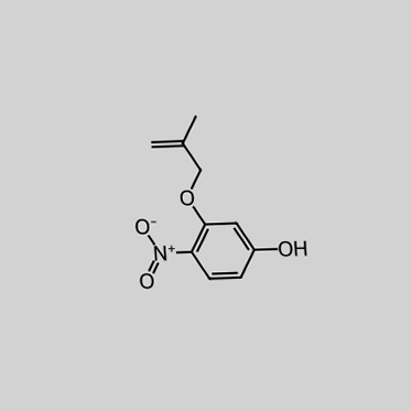 C=C(C)COc1cc(O)ccc1[N+](=O)[O-]